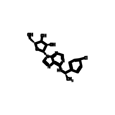 C[C@H](Nc1ncnc2c1ncn2[C@@H]1O[C@H](CO)C(O)[C@@H]1O)c1ccc(Cl)cc1